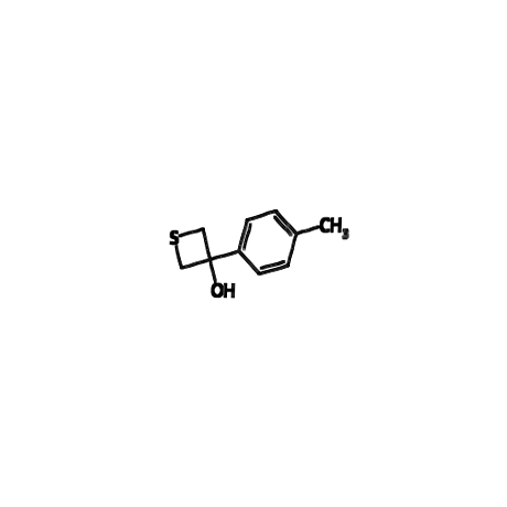 Cc1ccc(C2(O)CSC2)cc1